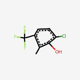 Cc1c(C(F)(F)F)ccc(Cl)c1O